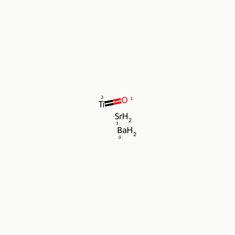 [BaH2].[O]=[Ti].[SrH2]